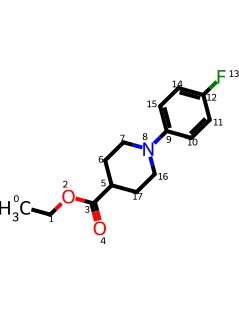 CCOC(=O)C1CCN(c2[c]cc(F)cc2)CC1